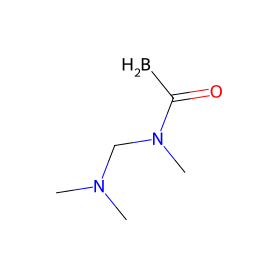 BC(=O)N(C)CN(C)C